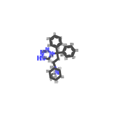 c1ccc(C(CCN2CC3CCC2CC3)(c2ccccc2)N2CNN=N2)cc1